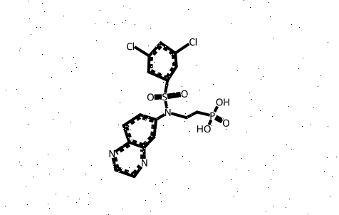 O=P(O)(O)CCN(c1ccc2nccnc2c1)S(=O)(=O)c1cc(Cl)cc(Cl)c1